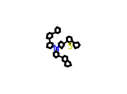 c1ccc(-c2cccc(-c3cccc(N(c4ccc(-c5cccc6c5sc5ccccc56)cc4)c4cccc(-c5ccc6ccccc6c5)c4)c3)c2)cc1